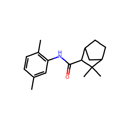 Cc1ccc(C)c(NC(=O)C2C3CCC(C3)C2(C)C)c1